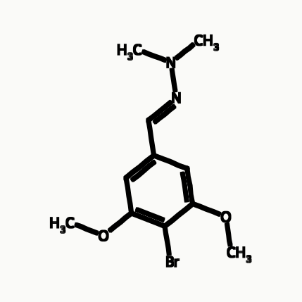 COc1cc(/C=N/N(C)C)cc(OC)c1Br